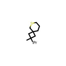 CC(C)C1(C)CC2(CCCSC2)C1